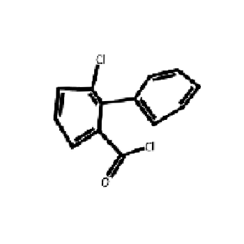 O=C(Cl)c1cccc(Cl)c1-c1ccccc1